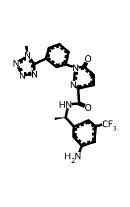 C[C@@H](NC(=O)c1ccc(=O)n(-c2cccc(-c3nnnn3C)c2)n1)c1cc(N)cc(C(F)(F)F)c1